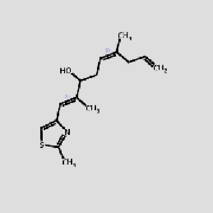 C=CC/C(C)=C\CC(O)/C(C)=C/c1csc(C)n1